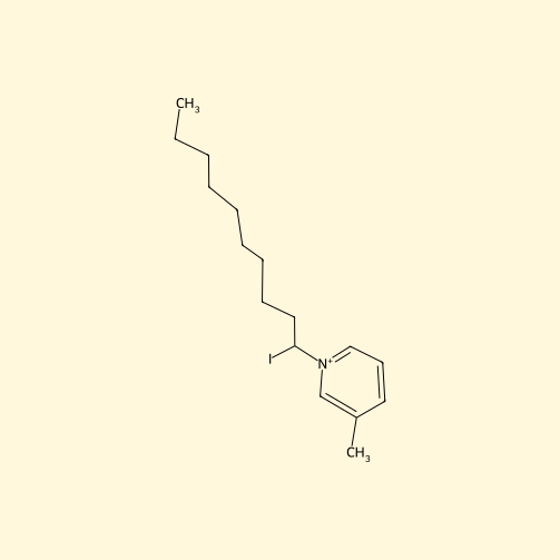 CCCCCCCCCC(I)[n+]1cccc(C)c1